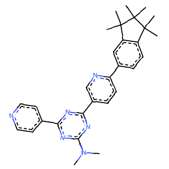 CN(C)c1nc(-c2ccncc2)nc(-c2ccc(-c3ccc4c(c3)C(C)(C)C(C)(C)C4(C)C)nc2)n1